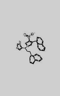 O=[N+]([O-])c1cn(C(CCc2cccc3ccccc23)c2cnc[nH]2)cc1-c1cccc2ccccc12